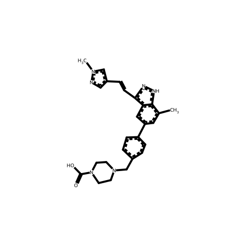 Cc1cc(-c2ccc(CN3CCN(C(=O)O)CC3)cc2)cc2c(C=Cc3cnn(C)c3)n[nH]c12